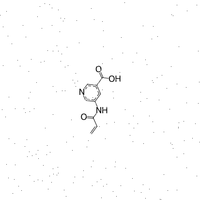 C=CC(=O)Nc1cncc(C(=O)O)c1